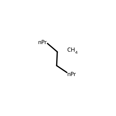 C.CCCCCCCC